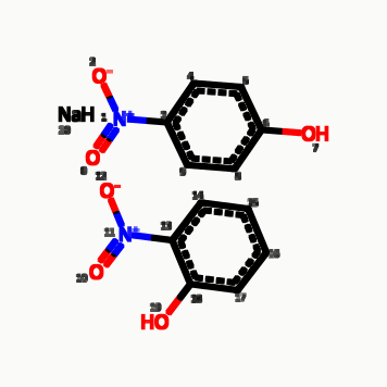 O=[N+]([O-])c1ccc(O)cc1.O=[N+]([O-])c1ccccc1O.[NaH]